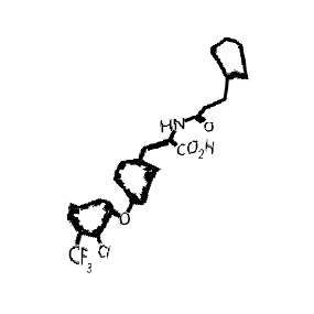 O=C(CCC1CCCC1)N/C(=C/c1ccc(Oc2cccc(C(F)(F)F)c2Cl)cc1)C(=O)O